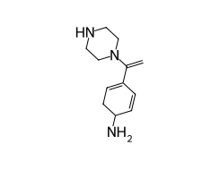 C=C(C1=CCC(N)C=C1)N1CCNCC1